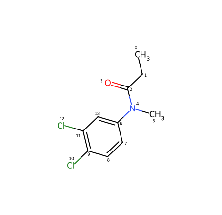 CCC(=O)N(C)c1ccc(Cl)c(Cl)c1